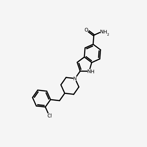 NC(=O)c1ccc2[nH]c(N3CCC(Cc4ccccc4Cl)CC3)cc2c1